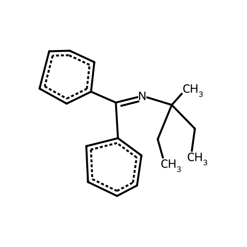 CCC(C)(CC)N=C(c1ccccc1)c1ccccc1